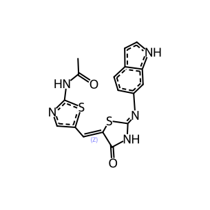 CC(=O)Nc1ncc(/C=C2\SC(=Nc3ccc4cc[nH]c4c3)NC2=O)s1